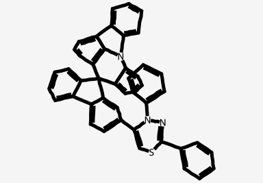 C1=C(c2ccc3c(c2)C2(c4ccccc4-3)c3ccccc3-n3c4ccccc4c4cccc2c43)N(c2ccccc2)N=C(c2ccccc2)S1